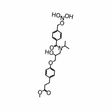 COC(=O)CCc1ccc(OCC(O)CN(C(=O)c2ccc(CON(O)O)cc2)C(C)C)cc1